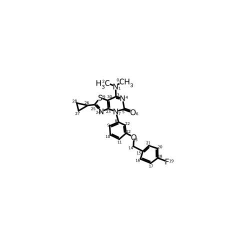 CN(C)c1nc(=O)n(-c2cccc(OCc3ccc(F)cc3)c2)c2nc(C3CC3)sc12